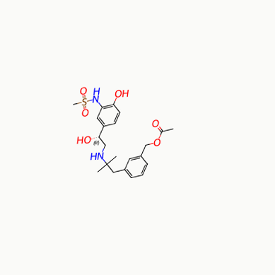 CC(=O)OCc1cccc(CC(C)(C)NC[C@H](O)c2ccc(O)c(NS(C)(=O)=O)c2)c1